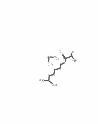 CC(C)CCCCCOC(=O)C(S)S.[CH3][Sn][CH3]